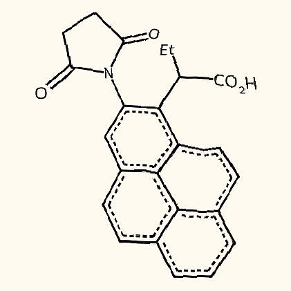 CCC(C(=O)O)c1c(N2C(=O)CCC2=O)cc2ccc3cccc4ccc1c2c34